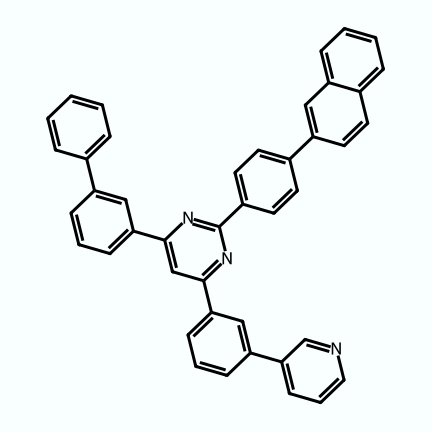 c1ccc(-c2cccc(-c3cc(-c4cccc(-c5cccnc5)c4)nc(-c4ccc(-c5ccc6ccccc6c5)cc4)n3)c2)cc1